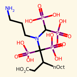 CCCCCCCCC(CC(=O)O)C(N(CCCN)C(P(=O)(O)O)P(=O)(O)O)(P(=O)(O)O)P(=O)(O)O